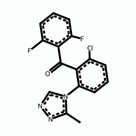 Cc1nncn1-c1cccc(Cl)c1C(=O)c1c(F)cccc1F